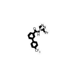 CC(C)c1nncn1NC(=O)c1cccc(-c2ccc(C(F)(F)F)cc2)c1